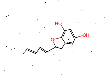 CC=CC=CC1Cc2cc(O)cc(O)c2O1